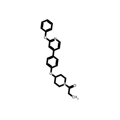 CCC(=O)N1CCC(Oc2ccc(-c3ccnc(Oc4ccccc4)c3)cc2)CC1